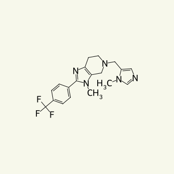 Cn1cncc1CN1CCc2nc(-c3ccc(C(F)(F)F)cc3)n(C)c2C1